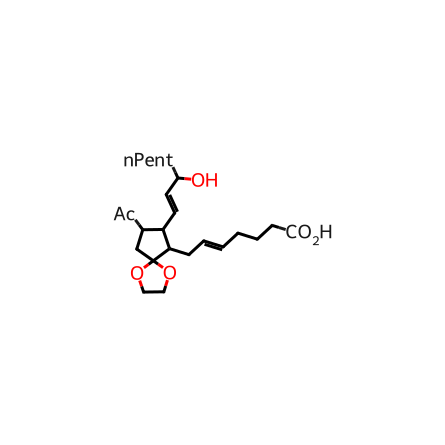 CCCCCC(O)/C=C/C1C(C(C)=O)CC2(OCCO2)C1C/C=C/CCCC(=O)O